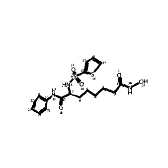 O=C(CCCCC[C@H](NS(=O)(=O)c1cccs1)C(=O)Nc1ccccc1)NO